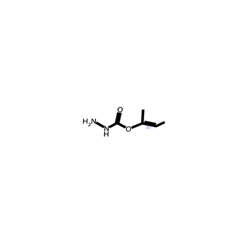 C/C=C(\C)OC(=O)NN